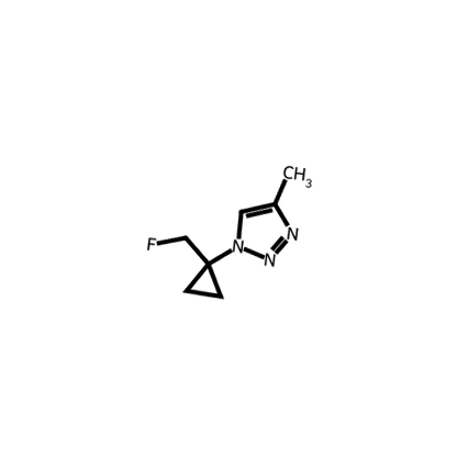 Cc1cn(C2(CF)CC2)nn1